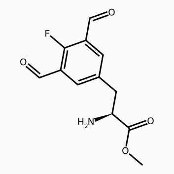 COC(=O)[C@@H](N)Cc1cc(C=O)c(F)c(C=O)c1